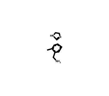 C1=NCCN1.Cc1ccccc1CN